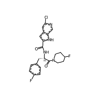 O=C(N[C@@H](Cc1ccc(F)cc1)C(=O)N1CCC(F)CC1)c1cc2cc(Cl)ncc2[nH]1